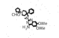 COc1cc2nc(N(C)CC3(c4ccccc4)CCN(C4(C=O)CCCC4)CC3)nc(N)c2cc1OC